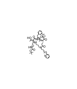 CCCCN(CCSSc1ccccn1)C(=O)CC[C@@H](C(N)=O)N(C)C(=O)[C@H](Cc1ccccc1)NC(=O)[C@@H](NCONC(=O)OC(C)(C)C)[C@@H](C)O